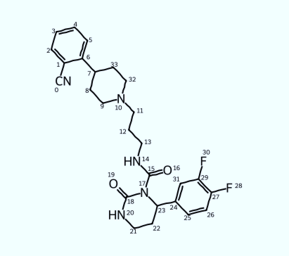 N#Cc1ccccc1C1CCN(CCCNC(=O)N2C(=O)NCCC2c2ccc(F)c(F)c2)CC1